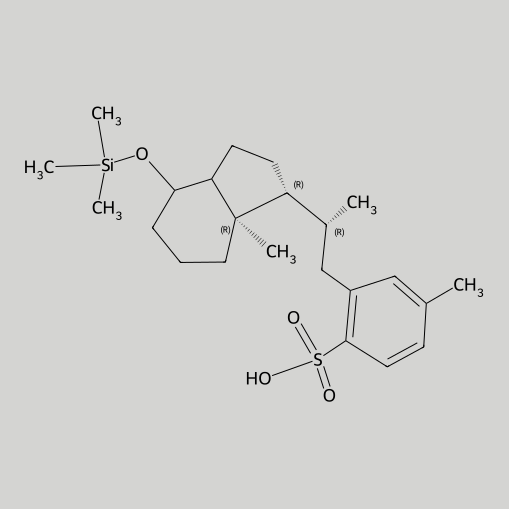 Cc1ccc(S(=O)(=O)O)c(C[C@@H](C)[C@H]2CCC3C(O[Si](C)(C)C)CCC[C@@]32C)c1